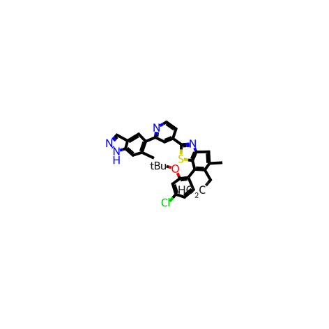 Cc1cc2[nH]ncc2cc1-c1cc(-c2nc3cc(C)c(CC(=O)O)c(-c4ccc(Cl)cc4OC(C)(C)C)c3s2)ccn1